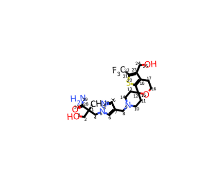 CC(CO)(Cn1cc(CN2CCC3(CC2)OCCc2c3sc(C(F)(F)F)c2CO)cn1)C(N)=O